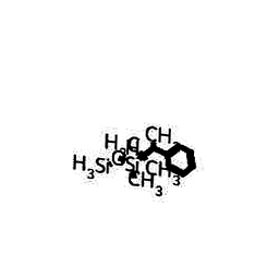 CC(c1ccccc1)C(C)(C)[SiH](C)O[SiH3]